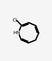 ClC1=CC=CCC=CN1